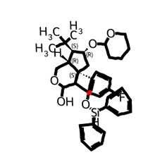 CC(C)(C)[C@@H]1[C@H]2COC(O)C(CO[SiH](c3ccccc3)c3ccccc3)[C@]2(c2ccc(F)cc2)C[C@H]1OC1CCCCO1